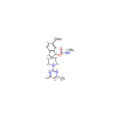 COc1ccc2c(c1)[C@@H](OC(=O)NC(C)(C)C)C1(CCN(c3nc(C)cc(C#N)n3)CC1)C2